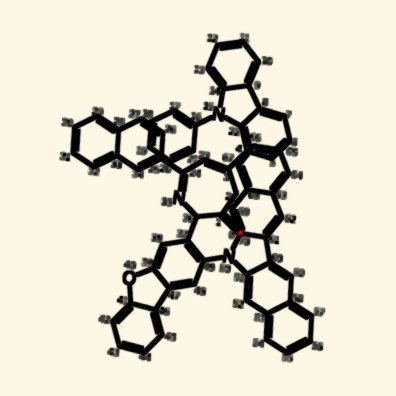 C=C1CC(c2cccc3c4ccccc4n(-c4ccccc4)c23)=CC(c2ccc3ccccc3c2)=NC1c1cc2oc3ccccc3c2cc1-n1c2cc3ccccc3cc2c2cc3ccccc3cc21